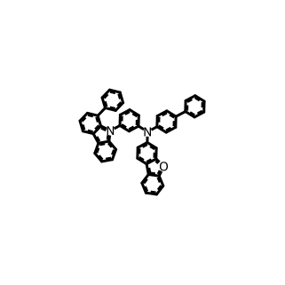 c1ccc(-c2ccc(N(c3cccc(-n4c5ccccc5c5cccc(-c6ccccc6)c54)c3)c3ccc4c(c3)oc3ccccc34)cc2)cc1